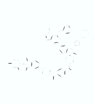 CC(C)n1cnc2cc(-c3ccc4c(c3)N(C3CC(N5CCCCC5)C3)C(=O)C43CCN(C(=O)c4ccc(C(=O)N5CCN(c6ccc7c(c6)C(=O)N([C@@H]6CCC(=O)NC6=O)C7=O)CC5)cc4)CC3)nc(Nc3ccncc3F)c21